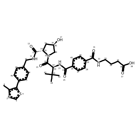 Cc1ncsc1-c1ccc(CNC(=O)[C@@H]2C[C@@H](O)CN2C(=O)[C@@H](NC(=O)c2ccc(C(=O)NCCCC(=O)O)cc2)C(C)(C)C)cc1